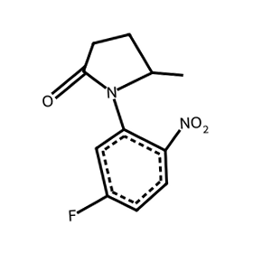 CC1CCC(=O)N1c1cc(F)ccc1[N+](=O)[O-]